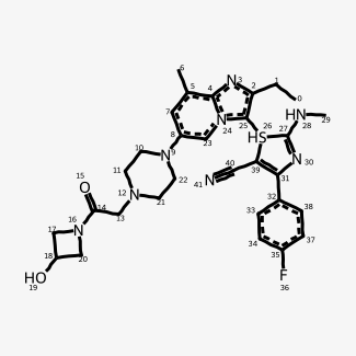 CCc1nc2c(C)cc(N3CCN(CC(=O)N4CC(O)C4)CC3)cn2c1[SH]1C(NC)=NC(c2ccc(F)cc2)=C1C#N